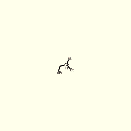 CCC[CH2][GeH]([CH2]C)[CH2]C